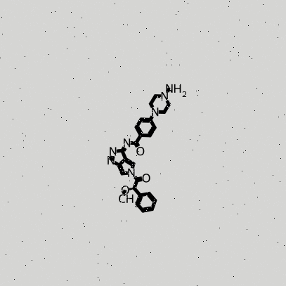 CO[C@@H](C(=O)n1cc2c(c1)/C(=N\C(=O)c1ccc(N3CCN(N)CC3)cc1)N=N2)c1ccccc1